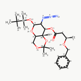 CC[C@H](CC(=O)O[C@@H]1C(N=[N+]=[N-])[C@H](O[Si](C)(C)C(C)(C)C(C)C)OC2COC(C)(C)O[C@H]21)OCc1ccccc1